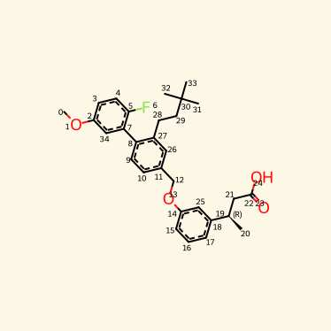 COc1ccc(F)c(-c2ccc(COc3cccc([C@H](C)CC(=O)O)c3)cc2CCC(C)(C)C)c1